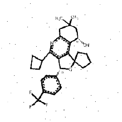 CC1(C)Cc2nc(C3CCC3)c3c(c2[C@@H](O)C1)C1(CCCC1)O[C@@H]3c1ccc(C(F)(F)F)cc1